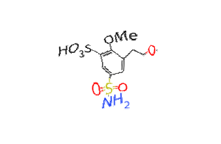 COc1c(CC[O])cc(S(N)(=O)=O)cc1S(=O)(=O)O